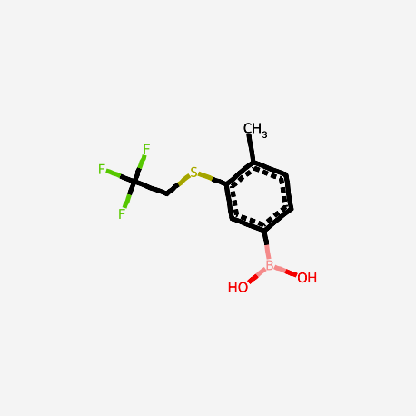 Cc1ccc(B(O)O)cc1SCC(F)(F)F